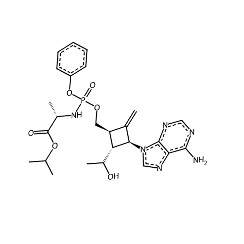 C=C1[C@@H](n2cnc3c(N)ncnc32)[C@H](C(C)O)[C@H]1COP(=O)(N[C@@H](C)C(=O)OC(C)C)Oc1ccccc1